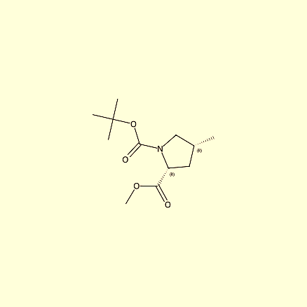 COC(=O)[C@H]1C[C@@H](C)CN1C(=O)OC(C)(C)C